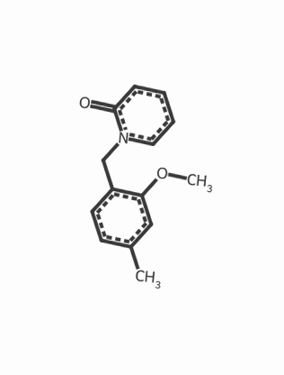 COc1cc(C)ccc1Cn1ccccc1=O